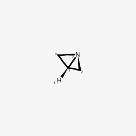 C1[C@H]2C[N@]12